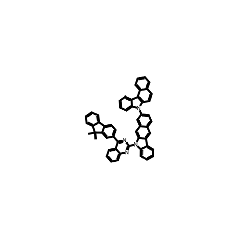 CC1(C)c2ccccc2-c2ccc(-c3nc(-n4c5ccccc5c5cc6ccc(-n7c8ccccc8c8c9ccccc9ccc87)cc6cc54)nc4ccccc34)cc21